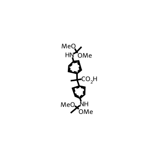 COC(C)(Nc1ccc(C(C)(C(=O)O)c2ccc(NC(C)(OC)OC)cc2)cc1)OC